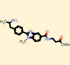 COC(=O)CCNC(=O)c1ccc2c(c1)nc(-c1ccc(CC(C)N)cc1)n2C